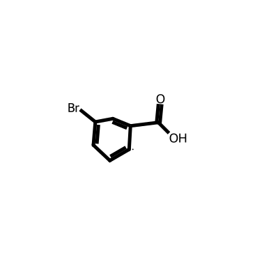 O=C(O)c1[c]ccc(Br)c1